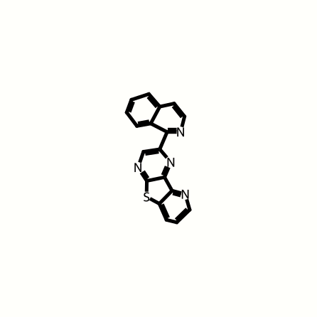 c1ccc2c(-c3cnc4sc5cccnc5c4n3)nccc2c1